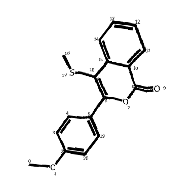 COc1ccc(-c2oc(=O)c3ccccc3c2SC)cc1